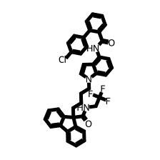 O=C(Nc1cccc2c1ccn2CCCCC1(C(=O)NCC(F)(F)F)c2ccccc2-c2ccccc21)c1ccccc1-c1ccc(Cl)cc1